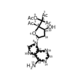 CC(=O)OC(C(C)=O)(C(C)=O)[C@@]1(C(C)=O)O[C@@H](n2cnc3c(N)ncnc32)C[C@@H]1O